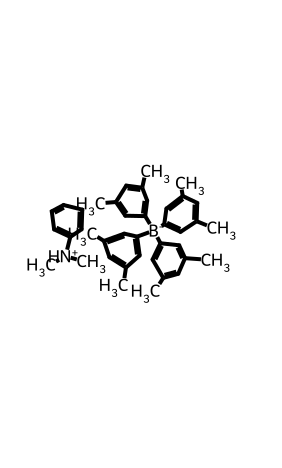 C[NH+](C)c1ccccc1.Cc1cc(C)cc([B-](c2cc(C)cc(C)c2)(c2cc(C)cc(C)c2)c2cc(C)cc(C)c2)c1